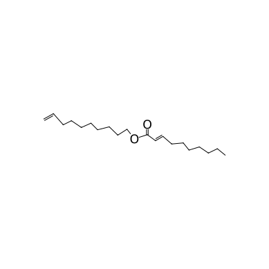 C=CCCCCCCCCOC(=O)C=CCCCCCCC